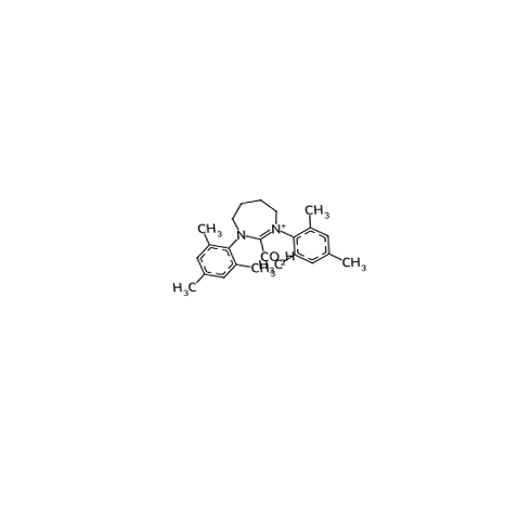 Cc1cc(C)c(N2CCCC[N+](c3c(C)cc(C)cc3C)=C2C(=O)O)c(C)c1